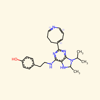 CC(C)N1c2nc(/C3=C/C=C\N=C/CC3)nc(NCCc3ccc(O)cc3)c2NC1C